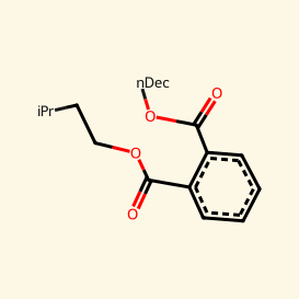 CCCCCCCCCCOC(=O)c1ccccc1C(=O)OCCC(C)C